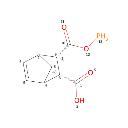 O=C(O)[C@@H]1C2C=CC(C2)[C@@H]1C(=O)OP